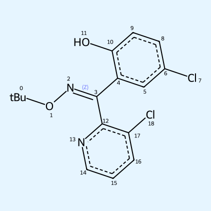 CC(C)(C)O/N=C(/c1cc(Cl)ccc1O)c1ncccc1Cl